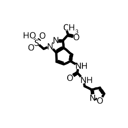 CC(=O)c1nn(CS(=O)(=O)O)c2ccc(NC(=O)NCc3ccon3)cc12